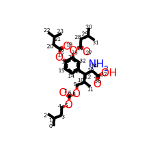 CC(C)CCOC(=O)OCC(C)C(c1ccc(OC(=O)CC(C)C)c(OC(=O)CC(C)C)c1)[C@H](N)C(=O)O